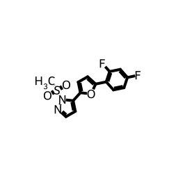 CS(=O)(=O)n1nccc1-c1ccc(-c2ccc(F)cc2F)o1